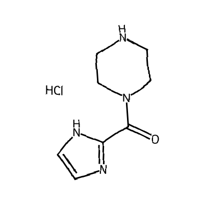 Cl.O=C(c1ncc[nH]1)N1CCNCC1